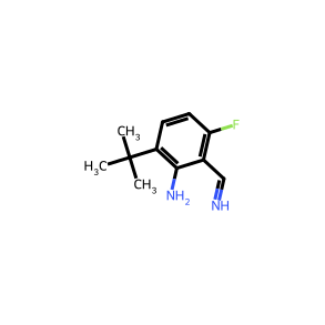 CC(C)(C)c1ccc(F)c(C=N)c1N